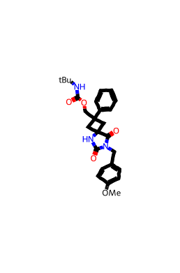 COc1ccc(CN2C(=O)NC3(CC(COC(=O)NC(C)(C)C)(c4ccccc4)C3)C2=O)cc1